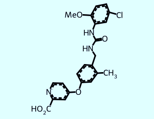 COc1ccc(Cl)cc1NC(=O)NCc1ccc(Oc2ccnc(C(=O)O)c2)cc1C